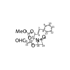 COC(=O)OC1(CC=Cc2ccccc2)C(=CC=O)OC2CC(=O)N21